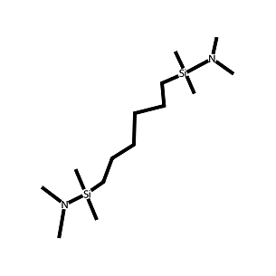 CN(C)[Si](C)(C)CCCCCC[Si](C)(C)N(C)C